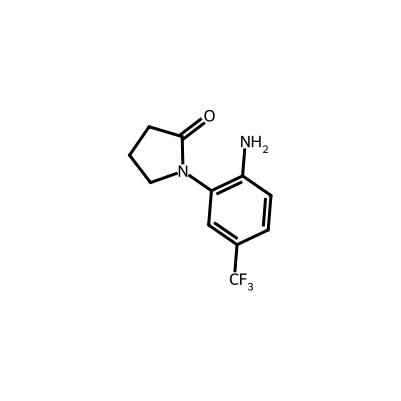 Nc1ccc(C(F)(F)F)cc1N1CCCC1=O